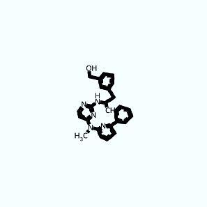 CC(Cc1cccc(CO)c1)Nc1nccc(N(C)c2cccc(-c3ccccc3)n2)n1